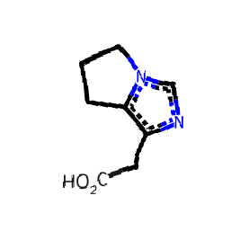 O=C(O)Cc1ncn2c1CCC2